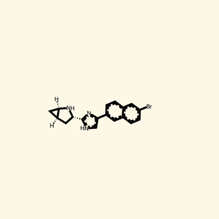 Brc1ccc2cc(-c3c[nH]c([C@@H]4C[C@H]5C[C@H]5N4)n3)ccc2c1